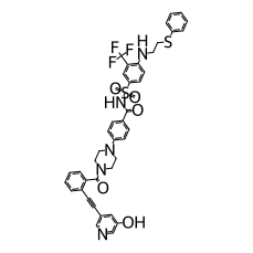 O=C(NS(=O)(=O)c1ccc(NCCSc2ccccc2)c(C(F)(F)F)c1)c1ccc(N2CCN(C(=O)c3ccccc3C#Cc3cncc(O)c3)CC2)cc1